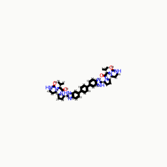 CC(C)[C@@H](C(=O)N1CCC[C@H]1c1nc2ccc(-c3ccc(-c4ccc5nc([C@@H]6CCCN6C(=O)[C@H](C(C)C)N6CCCNC6=O)[nH]c5c4)cc3)cc2[nH]1)N1CCCNC1=O